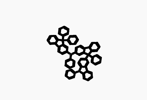 c1ccc(N(c2ccc3c(c2)C(c2ccccc2)(c2ccccc2)c2ccccc2-3)c2ccc3c(c2)C(c2ccccc2)(c2ccc4c(c2)c2ccccc2n4-c2ccccc2)c2ccccc2-3)cc1